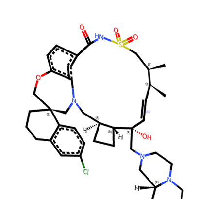 C[C@@H]1CS(=O)(=O)NC(=O)c2ccc3c(c2)N(C[C@@H]2CC[C@H]2[C@](O)(CN2CCN4CCCC[C@@H]4C2)/C=C/[C@@H]1C)C[C@@]1(CCCc2cc(Cl)ccc21)CO3